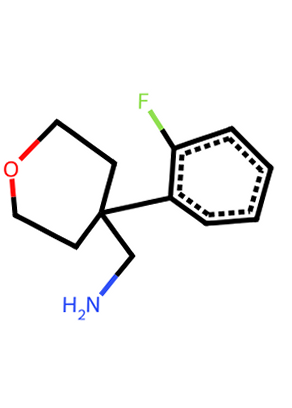 NCC1(c2ccccc2F)CCOCC1